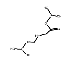 O=C(CNCOP(O)O)OP(O)O